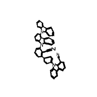 N#Cc1c(-c2ccc(-n3c4ccccc4c4cccc(C#N)c43)cc2)cccc1-n1c2ccccc2c2c(-n3c4ccccc4c4ccccc43)cccc21